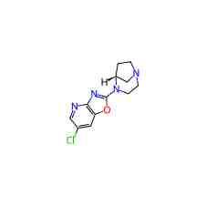 Clc1cnc2nc(N3CCN4CC[C@@H]3C4)oc2c1